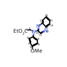 CCOC(=O)CN(c1ccc(OC)cc1)c1cnc2ccccc2n1